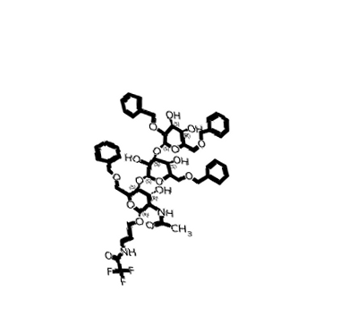 CC(=O)NC1[C@H](OCCCNC(=O)C(F)(F)F)OC(COCc2ccccc2)[C@@H](O[C@@H]2OC(COCc3ccccc3)[C@H](O)[C@H](O[C@@H]3OC(COCc4ccccc4)[C@H](O)[C@H](O)C3OCc3ccccc3)C2O)[C@@H]1O